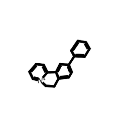 c1ccc(-c2ccc3c(c2)-c2cccc[n+]2CC3)cc1